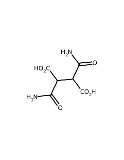 NC(=O)C(C(=O)O)C(C(N)=O)C(=O)O